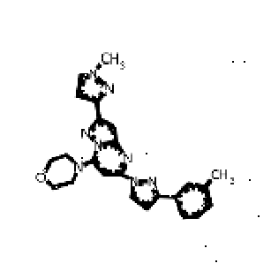 Cc1cccc(-c2ccn(-c3cc(N4CCOCC4)n4nc(-c5ccn(C)n5)cc4n3)n2)c1